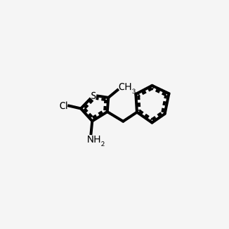 Cc1sc(Cl)c(N)c1Cc1ccccc1